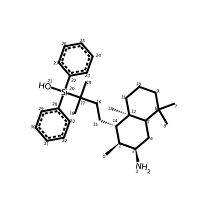 C[C@@H]1[C@H](N)CC2C(C)(C)CCC[C@]2(C)[C@H]1CCC(C)(C)[Si](O)(c1ccccc1)c1ccccc1